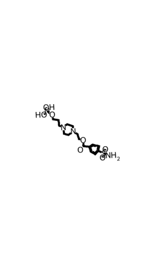 NS(=O)(=O)c1ccc(C(=O)OCCN2CCN(CCCON(O)O)CC2)cc1